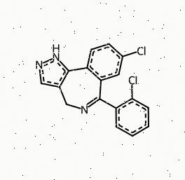 Clc1ccc2c(c1)C(c1ccccc1Cl)=NCc1cn[nH]c1-2